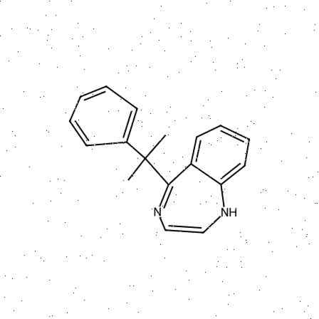 CC(C)(C1=NC=CNc2ccccc21)c1ccccc1